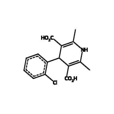 CC1=C(C(=O)O)C(c2ccccc2Cl)C(C(=O)O)=C(C)N1